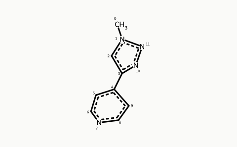 Cn1cc(-c2ccncc2)nn1